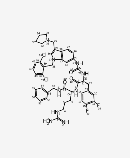 N=C(N)NCCC[C@H](NC(=O)[C@H](Cc1ccc(F)c(F)c1)NC(=O)Nc1ccc2c(CN3CCCC3)cn(Cc3c(Cl)cccc3Cl)c2c1)C(=O)NCc1ccccc1